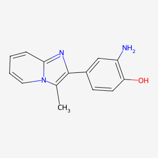 Cc1c(-c2ccc(O)c(N)c2)nc2ccccn12